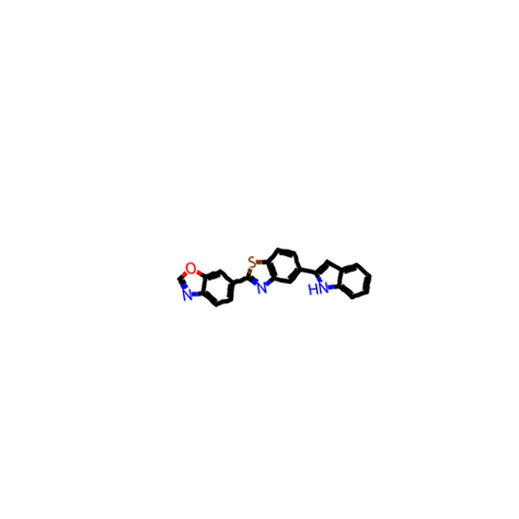 c1ccc2[nH]c(-c3ccc4sc(-c5ccc6ncoc6c5)nc4c3)cc2c1